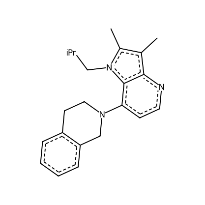 Cc1c(C)n(CC(C)C)c2c(N3CCc4ccccc4C3)ccnc12